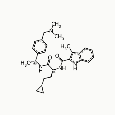 Cc1c(C(=O)N[C@@H](CCC2CC2)C(=O)N[C@H](C)c2ccc(CN(C)C)cc2)[nH]c2ccccc12